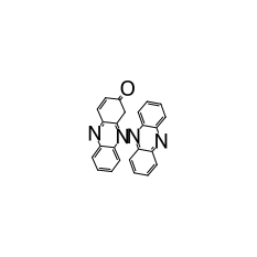 O=C1C=Cc2nc3ccccc3nc2C1.c1ccc2nc3ccccc3nc2c1